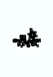 CC(NC(=O)OC(C)(C)C)C(=O)OC(C)C(O)c1ccc(F)cc1